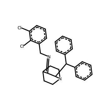 Clc1cccc(CN=C2C3CCN(CC3)C2C(c2ccccc2)c2ccccc2)c1Cl